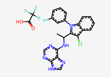 CC(Nc1ncnc2[nH]cnc12)c1c(Cl)c2ccccc2n1-c1cccc(F)c1.O=C(O)C(F)(F)F